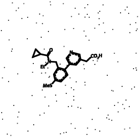 CCN(Cc1cc(SC)ccc1-c1cncc(CC(=O)O)c1)C(=O)C1CC1